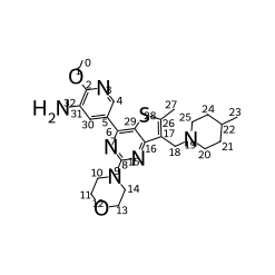 COc1ncc(-c2nc(N3CCOCC3)nc3c(CN4CCC(C)CC4)c(C)sc23)cc1N